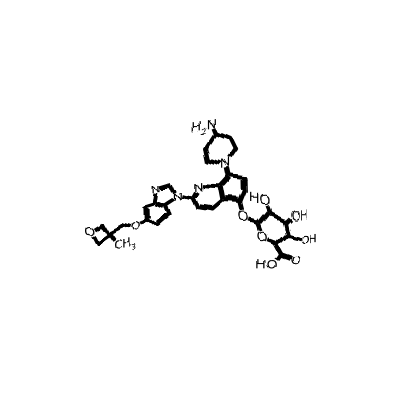 CC1(COc2ccc3c(c2)ncn3-c2ccc3c(OC4OC(C(=O)O)C(O)C(O)C4O)ccc(N4CCC(N)CC4)c3n2)COC1